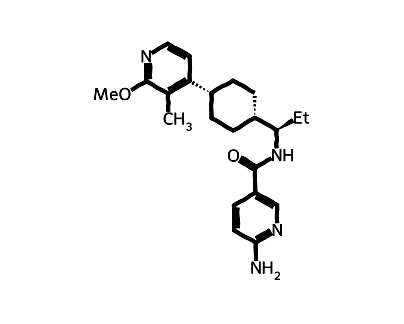 CC[C@@H](NC(=O)c1ccc(N)nc1)[C@H]1CC[C@@H](c2ccnc(OC)c2C)CC1